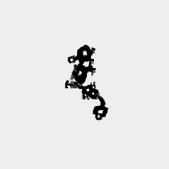 Fc1ccc(Cl)c(-c2nnc(NC3C[C@@H]4CN(CC5CCOCC5)C[C@@H]4C3)cc2C(F)F)c1